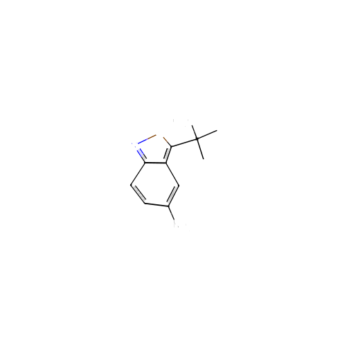 CCOC(=O)C(C)(C)c1snc2ccc([N+](=O)[O-])cc12